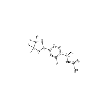 Cc1cc(B2OC(C)(C)C(C)(C)O2)ccc1[C@@H](C)NC(=O)O